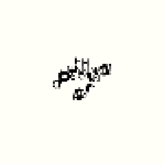 O=C(Nc1cc(OCCN2CCOCC2)nc(N2CCOCC2)n1)Nc1nc2ccc(Cl)cc2s1